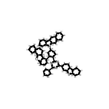 c1ccc(-c2nc(-c3ccc4c(c3)sc3ccccc34)nc(-c3ccc(-n4c5ccccc5c5cc6ccccc6cc54)cc3-c3cccc4oc5c6ccccc6ccc5c34)n2)cc1